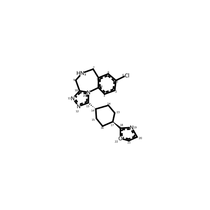 Clc1ccc2c(c1)CNCc1nnc([C@H]3CC[C@H](c4ncco4)CC3)n1-2